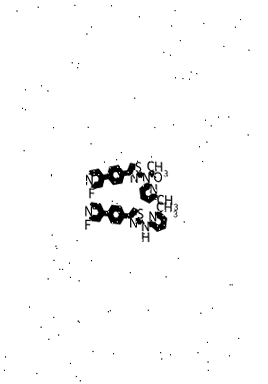 CC(=O)N(c1cccc(C)n1)c1nc(-c2ccc(-c3ccnc(F)c3)cc2)cs1.Cc1cccc(Nc2nc(-c3ccc(-c4ccnc(F)c4)cc3)cs2)n1